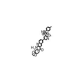 COc1ncc(-c2ccc3nc(N)c(C(=O)N4CCC5(CC4)OCCO5)cc3c2)cc1S(=O)(=O)Nc1ccc(C)cc1